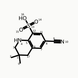 CC1(C)CNc2c(cc(C#N)cc2S(=O)(=O)O)C1